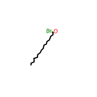 CCCCCCCCCCCCCCCC(=O)Br